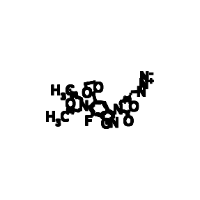 C[C@@H]1CN(c2c(C3OCCO3)cc3c(N4C[C@H](CN=[N+]=[N-])OC4=O)noc3c2F)C[C@@H](C)O1